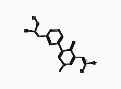 CCOC(CC)Cc1cccc(-c2cn(C)cc(/C=C(/Br)CC)c2=O)c1